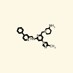 Cc1cn(-c2cc(CN3CCCC(N)C3)nc(NCc3cc(-c4ccccc4)ccn3)c2)cn1